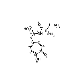 NC[C@H](N)C(=O)N[C@@H](Cc1ccc(O)c(=O)cc1)C(=O)O